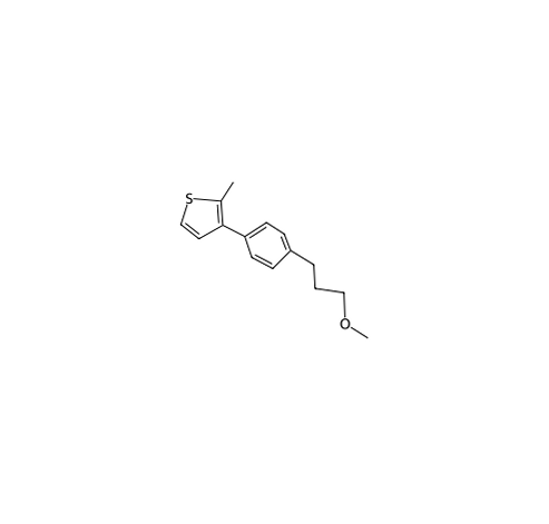 COCCCc1ccc(-c2ccsc2C)cc1